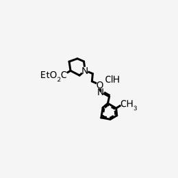 CCOC(=O)C1CCCN(CCON=Cc2ccccc2C)C1.Cl